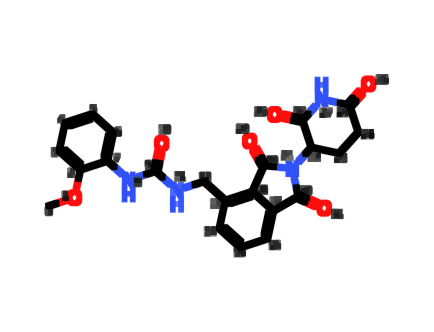 COc1ccccc1NC(=O)NCc1cccc2c1C(=O)N(C1CCC(=O)NC1=O)C2=O